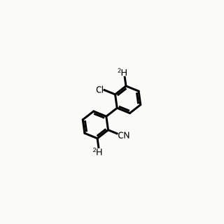 [2H]c1cccc(-c2cccc([2H])c2C#N)c1Cl